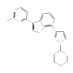 Clc1nccc(-c2c[nH]c3c(-c4ccn(C5CCCCO5)n4)cccc23)n1